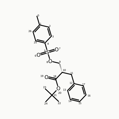 Cc1ccc(S(=O)(=O)OC[C@H](Cc2ccccc2)C(=O)OC(C)(C)C)cc1